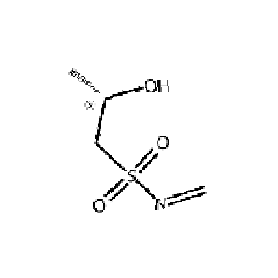 C=NS(=O)(=O)C[C@H](C)O